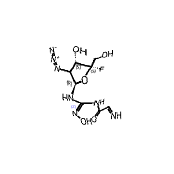 [N-]=[N+]=NC1[C@H](N/C(=N/O)NC(=O)C=N)O[C@](F)(CO)[C@H]1O